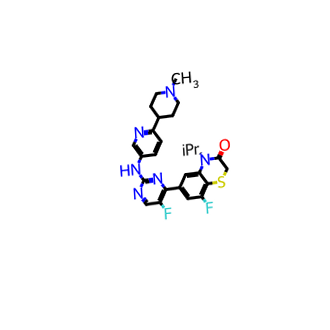 CC(C)N1C(=O)CSc2c(F)cc(-c3nc(Nc4ccc(C5CCN(C)CC5)nc4)ncc3F)cc21